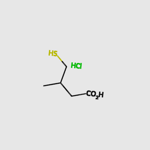 CC(CS)CC(=O)O.Cl